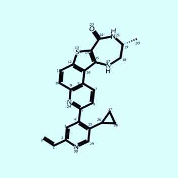 C=Cc1cc(-c2ccc3c(ccc4sc5c(c43)NC[C@@H](C)NC5=O)n2)c(C2CC2)cn1